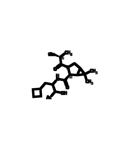 CC(=O)C(O)C(CC1CCC1)NC(=O)[C@@H]1C2C(CN1C(=O)[C@@H](C)C(C)(C)C)C2(C)C